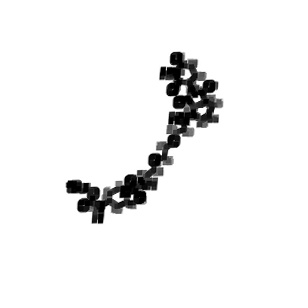 CC(C)(C)OC(=O)NC1CCN(S(=O)(=O)NCCOCCOCCNc2cccc3c2C(=O)N(C2CCC(=O)NC2=O)C3=O)CC1